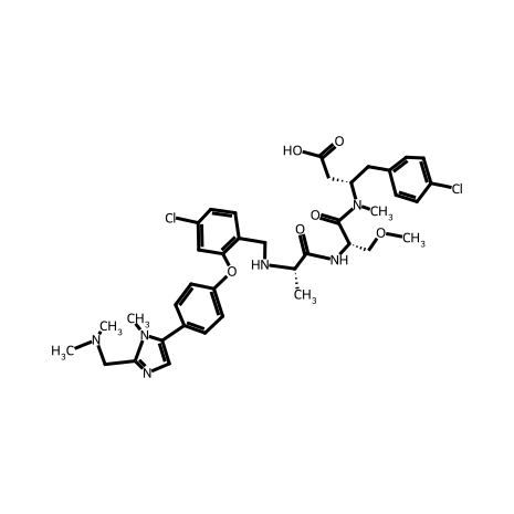 COC[C@H](NC(=O)[C@H](C)NCc1ccc(Cl)cc1Oc1ccc(-c2cnc(CN(C)C)n2C)cc1)C(=O)N(C)[C@H](CC(=O)O)Cc1ccc(Cl)cc1